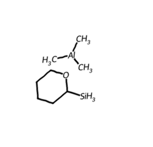 [CH3][Al]([CH3])[CH3].[SiH3]C1CCCCO1